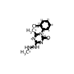 CNNc1nc(C)n(-c2ccccc2Cl)c(=O)n1